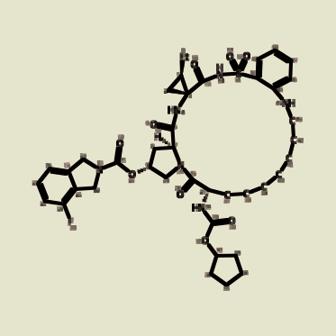 CC[C@@H]1C[C@@]12NC(=O)[C@@H]1C[C@@H](OC(=O)N3Cc4cccc(F)c4C3)CN1C(=O)[C@@H](NC(=O)OC1CCCC1)CCCCCCCNc1ccccc1S(=O)(=O)NC2=O